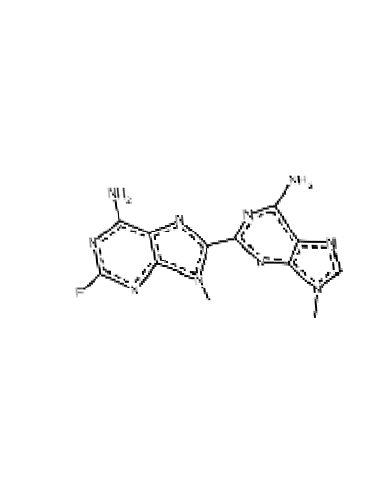 Cn1cnc2c(N)nc(-c3nc4c(N)nc(F)nc4n3C)nc21